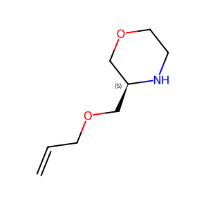 C=CCOC[C@H]1COCCN1